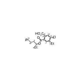 CCc1cc(C(=O)OC(CC)CCC(C)C)c(C(=O)O)cc1Cl